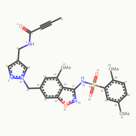 CC#CC(=O)NCc1cnn(Cc2cc(OC)c3c(NS(=O)(=O)c4cc(OC)ccc4OC)noc3c2)c1